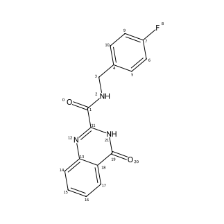 O=C(NCc1ccc(F)cc1)c1nc2ccccc2c(=O)[nH]1